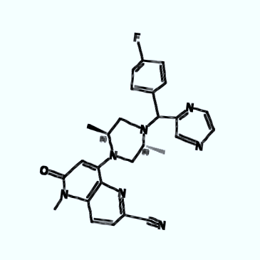 C[C@@H]1CN(c2cc(=O)n(C)c3ccc(C#N)nc23)[C@@H](C)CN1C(c1ccc(F)cc1)c1cnccn1